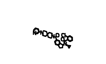 O=C(c1ccc2c(c1)C(N(C(=O)c1ccccc1Cl)C1CC1)CC2)N1CCC2(CC1)CCN(c1cccnc1)CC2